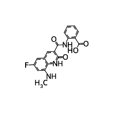 CNc1cc(F)cc2cc(C(=O)Nc3ccccc3C(=O)O)c(=O)[nH]c12